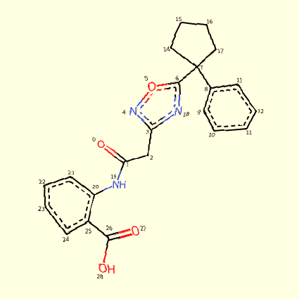 O=C(Cc1noc(C2(c3ccccc3)CCCC2)n1)Nc1ccccc1C(=O)O